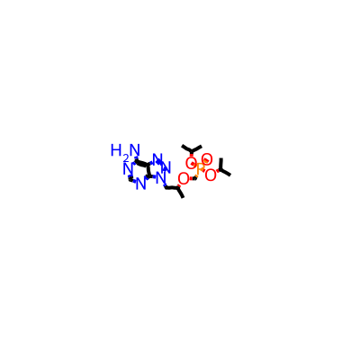 CC(C)OP(=O)(COC(C)Cn1nnc2c(N)ncnc21)OC(C)C